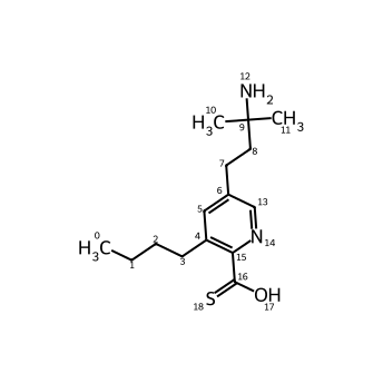 CCCCc1cc(CCC(C)(C)N)cnc1C(O)=S